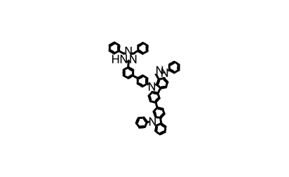 c1ccc(C2=NC(c3ccccc3)NC(c3cccc(-c4ccc(-n5c6ccc(-c7ccc8c9ccccc9n(-c9ccccc9)c8c7)cc6c6ccc7c(cnn7-c7ccccc7)c65)cc4)c3)=N2)cc1